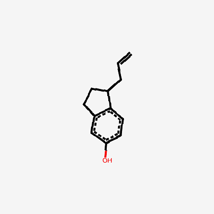 C=CCC1CCc2cc(O)ccc21